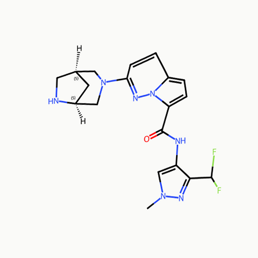 Cn1cc(NC(=O)c2ccc3ccc(N4C[C@@H]5CN[C@@H](C5)C4)nn23)c(C(F)F)n1